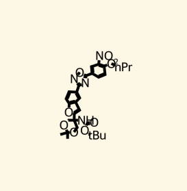 CCCOc1ccc(-c2nc(-c3ccc4oc(C5(NC(=O)OC(C)(C)C)COC(C)(C)OC5)cc4c3)no2)cc1[N+](=O)[O-]